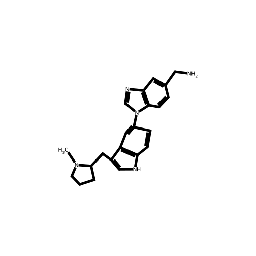 CN1CCCC1Cc1c[nH]c2ccc(-n3cnc4cc(CN)ccc43)cc12